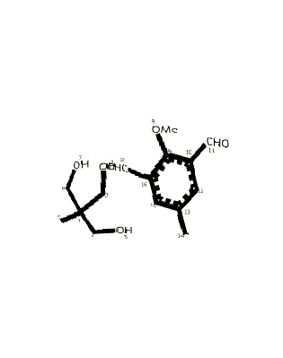 CC(CO)(CO)CO.COc1c(C=O)cc(C)cc1C=O